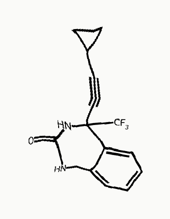 O=C1Nc2ccccc2C(C#CC2CC2)(C(F)(F)F)N1